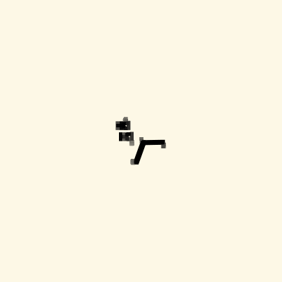 CCC.Cl.Cl